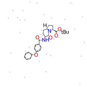 CC(C)(C)OC(=O)[C@@H]1CC[C@@H]2CC[C@H](NC(=O)c3ccc(Oc4ccccc4)cc3)C(=O)N21